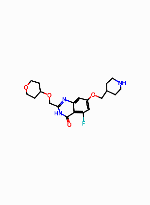 O=c1[nH]c(COC2CCOCC2)nc2cc(OCC3CCNCC3)cc(F)c12